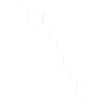 COC(=O)C(=O)CCCCCC(=O)NNc1ccc([N+](=O)[O-])cn1